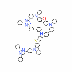 c1ccc(-c2cc(-c3ccc(-n4c5ccccc5c5cc6c(cc54)sc4cc5c(cc46)c4ccc(-c6cccc(N(c7ccccc7)c7ccc8c(c7)oc7c8ccc8c7c7ccccc7n8-c7cccc(-c8nc(-c9ccccc9)nc(-c9ccccc9)n8)c7)c6)cc4n5-c4ccccc4)cc3)nc(-c3ccccc3)n2)cc1